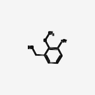 CCCc1cccc(CO)c1OC(F)(F)F